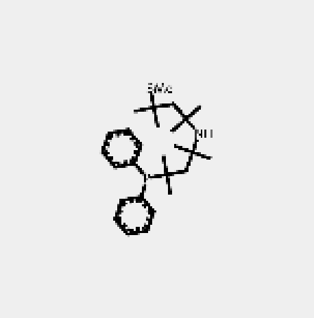 CSC(C)(C)CC(C)(C)NC(C)(C)CC(C)(C)P(c1ccccc1)c1ccccc1